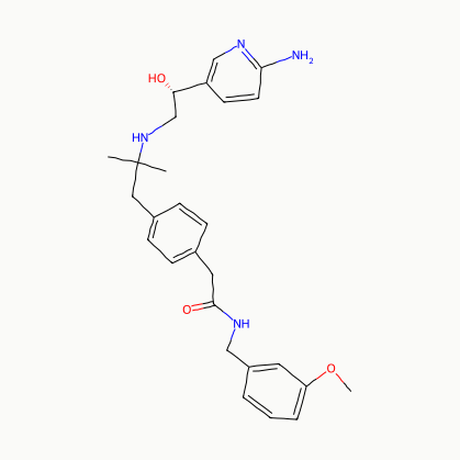 COc1cccc(CNC(=O)Cc2ccc(CC(C)(C)NC[C@H](O)c3ccc(N)nc3)cc2)c1